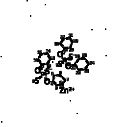 S=P([S-])(Oc1ccccc1)Oc1ccccc1.S=P([S-])(Oc1ccccc1)Oc1ccccc1.[Zn+2]